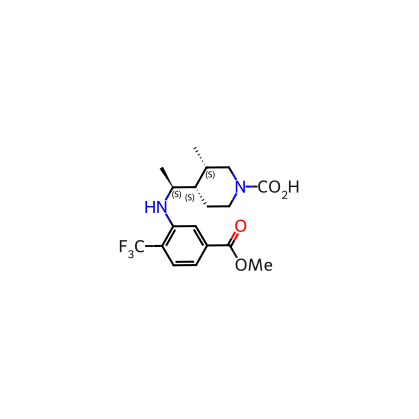 COC(=O)c1ccc(C(F)(F)F)c(N[C@@H](C)[C@H]2CCN(C(=O)O)C[C@H]2C)c1